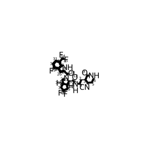 N#C[C@@H](C[C@@H]1CCCNC1=O)NC(=O)[C@H]1[C@H]2CC(F)(F)C[C@H]2CN1C(=O)c1cc2c(F)ccc(C(F)F)c2[nH]1